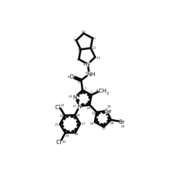 Cc1c(C(=O)NN2CC3CCCC3C2)nn(-c2ccc(Cl)cc2Cl)c1-c1ccc(Br)[se]1